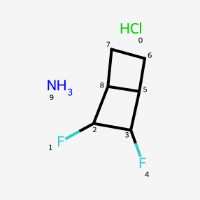 Cl.FC1C(F)C2CCC12.N